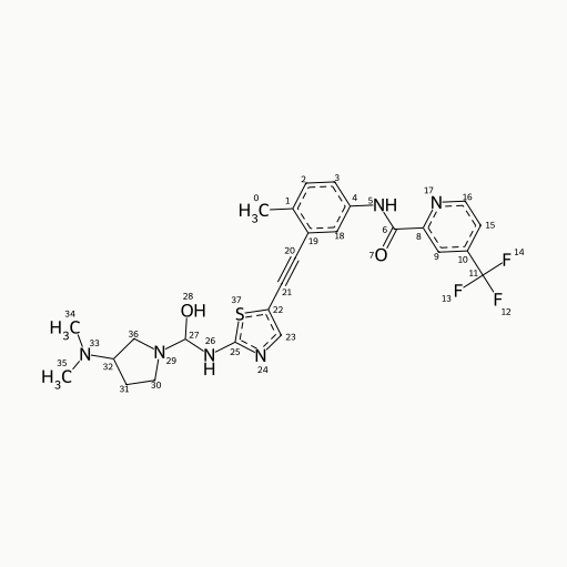 Cc1ccc(NC(=O)c2cc(C(F)(F)F)ccn2)cc1C#Cc1cnc(NC(O)N2CCC(N(C)C)C2)s1